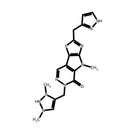 CN1C=C(Cn2ncc3c4sc(Cc5cc[nH]n5)nc4n(C)c3c2=O)N(C)N1